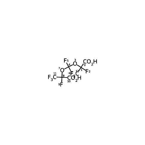 O=C(O)C(F)(OC(F)(F)OC(F)(C(=O)O)C(F)(F)F)C(F)(F)F